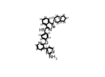 Nc1nccc(-c2cccnc2Oc2ccc(Nc3nnc(N4CCN5CCCC5C4)c4ccccc34)cc2)n1